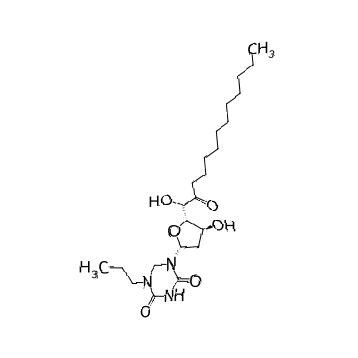 CCCCCCCCCCCC(=O)C(O)[C@H]1O[C@@H](N2CN(CCC)C(=O)NC2=O)C[C@@H]1O